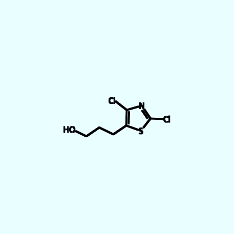 OCCCc1sc(Cl)nc1Cl